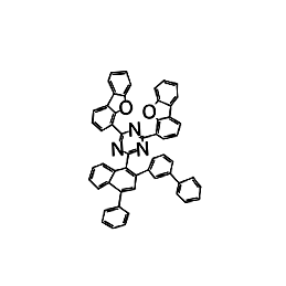 c1ccc(-c2cccc(-c3cc(-c4ccccc4)c4ccccc4c3-c3nc(-c4cccc5c4oc4ccccc45)nc(-c4cccc5c4oc4ccccc45)n3)c2)cc1